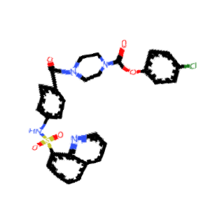 O=C(Oc1ccc(Cl)cc1)N1CCN(C(=O)c2ccc(NS(=O)(=O)c3cccc4cccnc34)cc2)CC1